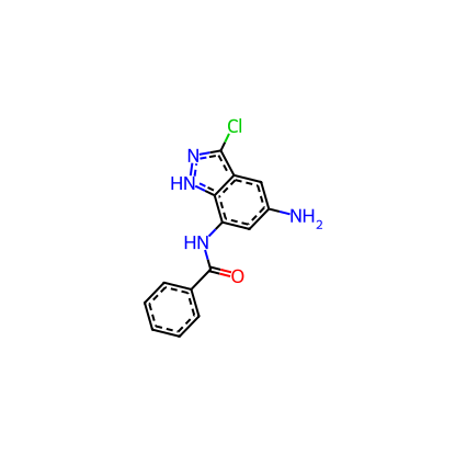 Nc1cc(NC(=O)c2ccccc2)c2[nH]nc(Cl)c2c1